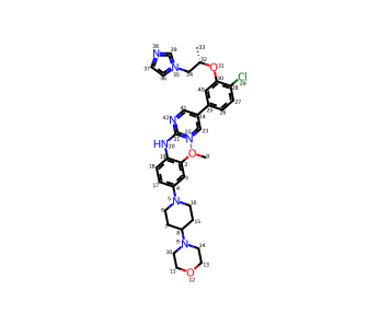 COc1cc(N2CCC(N3CCOCC3)CC2)ccc1Nc1ncc(-c2ccc(Cl)c(O[C@@H](C)Cn3ccnc3)c2)cn1